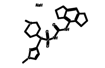 CN1CCC(N(c2ccn(C)n2)S(=O)(=O)NC(=O)Nc2c3c(cc4c2CCC4)CCC3)CC1.[NaH]